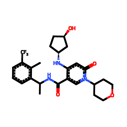 Cc1c(C(C)NC(=O)c2cn(C3CCOCC3)c(=O)cc2N[C@@H]2CC[C@@H](O)C2)cccc1C(F)(F)F